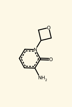 Nc1cccn(C2COC2)c1=O